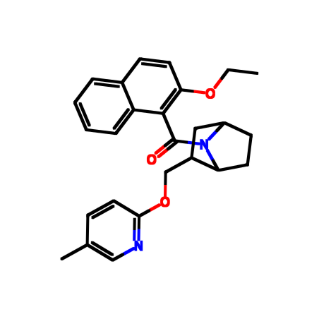 CCOc1ccc2ccccc2c1C(=O)N1C2CCC1C(COc1ccc(C)cn1)C2